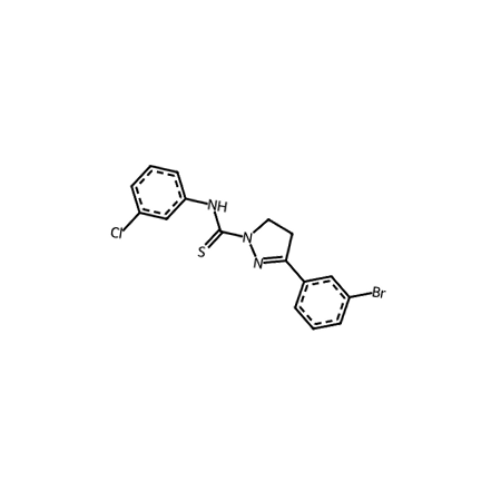 S=C(Nc1cccc(Cl)c1)N1CCC(c2cccc(Br)c2)=N1